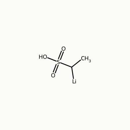 [Li][CH](C)S(=O)(=O)O